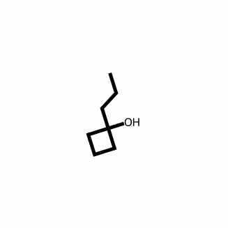 CCCC1(O)CCC1